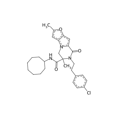 Cc1cc2c(cc3n2CC(C)(C(=O)NC2CCCCCCC2)N(CCc2ccc(Cl)cc2)C3=O)o1